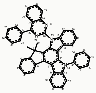 CC1(C)c2ccccc2-c2c1c1c(c3ccccc3n1-c1nc(-c3ccccc3)c3ccccc3n1)c1c2c2ccccc2n1-c1ccccc1